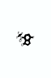 O=C1CCc2c(F)ccc([S+]([O-])C(F)(F)F)c21